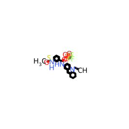 C#CC[n+]1c2c(cc3cc(NC(=O)c4cccc(NC(=S)OC)c4)ccc31)CCCC2.O=S(=O)([O-])C(F)(F)F